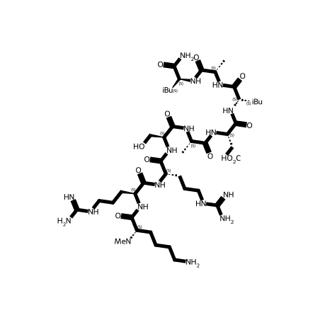 CC[C@H](C)[C@H](NC(=O)[C@H](C)NC(=O)[C@@H](NC(=O)[C@H](CC(=O)O)NC(=O)[C@H](C)NC(=O)[C@H](CO)NC(=O)[C@H](CCCNC(=N)N)NC(=O)[C@H](CCCNC(=N)N)NC(=O)[C@H](CCCCN)NC)[C@@H](C)CC)C(N)=O